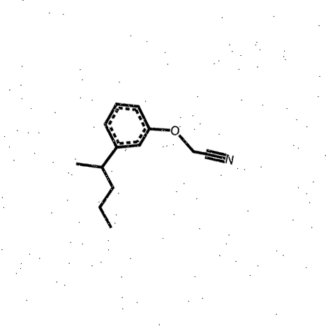 CCCC(C)c1cccc(OCC#N)c1